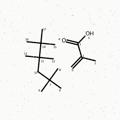 C=C(C)C(=O)O.CC(C)(C)CC(C)(C)C(C)(C)C